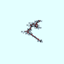 CCC(=O)NCCOCCOCCOCCOCCC(=O)NCCN[C@H](C(=O)NC(CCCCN)C(=O)Nc1ccc(COC(=O)N(C)CCN(C)C(=O)Oc2cc3c(c4c(C(=O)OC)c(C)[nH]c24)[C@H](CC)CN3C(=O)c2cc3cc(C(C)=O)ccc3[nH]2)cc1)C(C)C